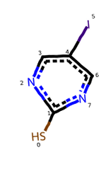 Sc1ncc(I)cn1